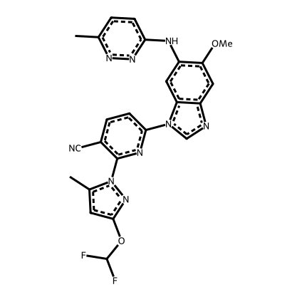 COc1cc2ncn(-c3ccc(C#N)c(-n4nc(OC(F)F)cc4C)n3)c2cc1Nc1ccc(C)nn1